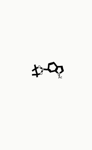 CC(=O)n1ccc2ccc(B3OC(C)(C)C(C)(C)O3)cc21